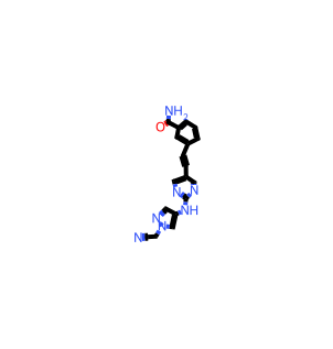 N#CCn1cc(Nc2ncc(C#Cc3cccc(C(N)=O)c3)cn2)cn1